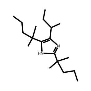 CCCC(C)(C)c1nc(C(C)CC)c(C(C)(C)CCC)[nH]1